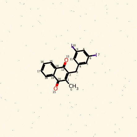 CC1=C(Cc2cc(I)cc(I)c2)C(=O)c2ccccc2C1=O